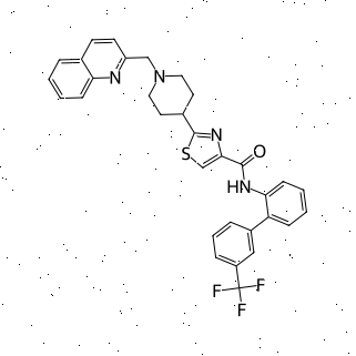 O=C(Nc1ccccc1-c1cccc(C(F)(F)F)c1)c1csc(C2CCN(Cc3ccc4ccccc4n3)CC2)n1